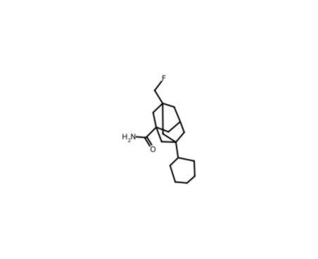 NC(=O)C12CC3CC(CF)(C1)CC(C1CCCCC1)(C3)C2